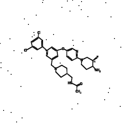 CC(=O)NCC1CCN(Cc2cc(Oc3ccc(N4CCC(N)[C@H](F)C4)nc3)cc(-c3cc(Cl)cc(Cl)c3)c2)CC1